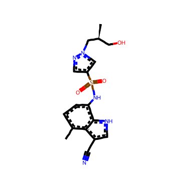 Cc1ccc(NS(=O)(=O)c2cnn(C[C@@H](C)CO)c2)c2[nH]cc(C#N)c12